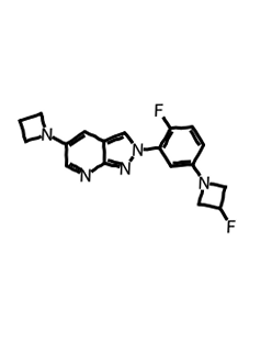 Fc1ccc(N2CC(F)C2)cc1-n1cc2cc(N3CCC3)cnc2n1